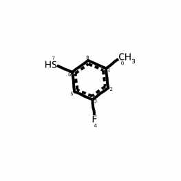 Cc1cc(F)cc(S)c1